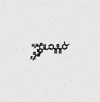 Cc1ccc(NC(=O)Nc2cccc(CNc3cn(OC(=O)C(F)(F)F)nc3C(N)=O)c2)cc1C